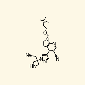 CS(C)(C)CCOCn1ccc2c(-c3cnn(C4(CC#N)CNC4)c3)c(C#N)cnc21